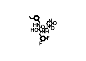 CCc1cccc(CNC[C@H](O)[C@H](Cc2cc(F)cc(F)c2)NC(=O)CN2CCN(C)C(=O)C2=O)c1